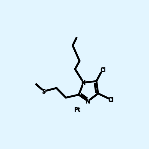 CCCCn1c(CCSC)nc(Cl)c1Cl.[Pt]